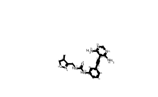 CC1CON=C1CNC(=O)Nc1cccc(C#Cc2c(N)ncnc2N)c1